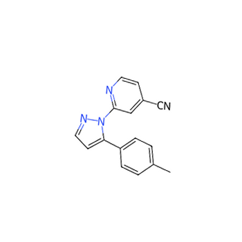 Cc1ccc(-c2ccnn2-c2cc(C#N)ccn2)cc1